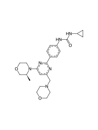 C[C@H]1COCCN1c1cc(CN2CCOCC2)nc(-c2ccc(NC(=O)NC3CC3)cc2)n1